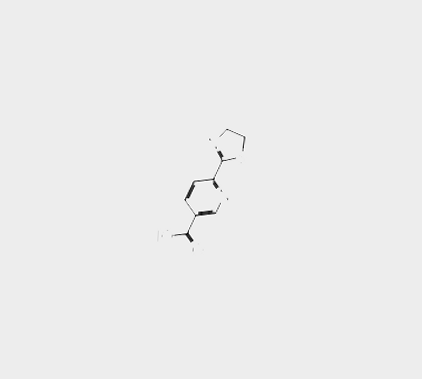 O=C(O)c1ccc(C2=NCCS2)nc1